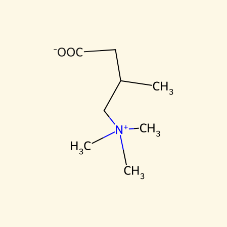 CC(CC(=O)[O-])C[N+](C)(C)C